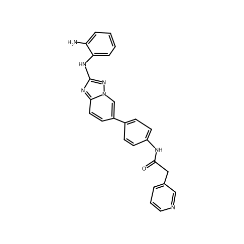 Nc1ccccc1Nc1nc2ccc(-c3ccc(NC(=O)Cc4cccnc4)cc3)cn2n1